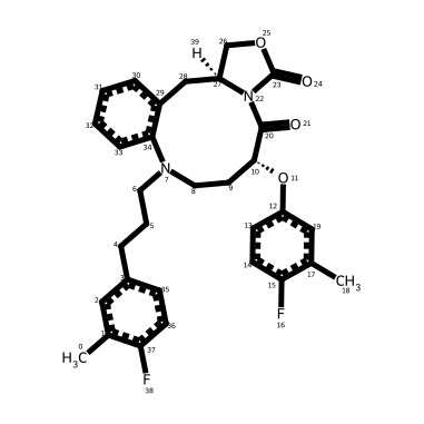 Cc1cc(CCCN2CC[C@@H](Oc3ccc(F)c(C)c3)C(=O)N3C(=O)OC[C@@H]3Cc3ccccc32)ccc1F